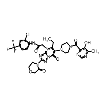 CCc1c(N2CCN(C(=O)c3ncnc(C)c3O)CC2)c(=O)n2nc(N3CCOCC3=O)nc2n1CC(=O)Nc1ccc(C(F)(F)F)cc1Cl